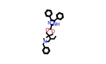 CCC(CN(C)Cc1ccccc1)C1(C)COC(c2nc(-c3ccccc3)c(-c3ccccc3)[nH]2)OC1